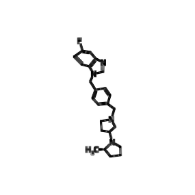 C[C@@H]1CCCN1C1CCN(Cc2ccc(Cn3cnc4cc(F)ccc43)cc2)C1